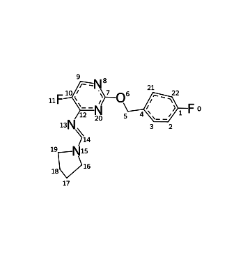 Fc1ccc(COc2ncc(F)c(N=CN3CCCC3)n2)cc1